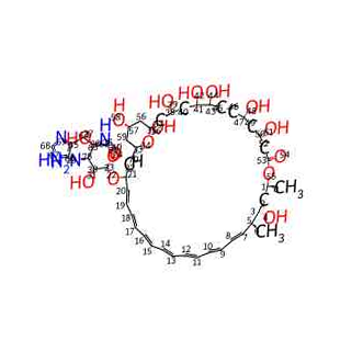 C[C@H]1C[C@H](O)[C@@H](C)/C=C/C=C/C=C/C=C/C=C/C=C/C=C/C(O[C@@H]2OC[C@@H](O)[C@H](N)[C@@H]2O)C[C@@H]2OC(O)(CC(O)CC(O)C(O)CCC(O)CC(O)CC(=O)O1)C[C@H](O)[C@H]2C(=O)NCCc1c[nH]cn1